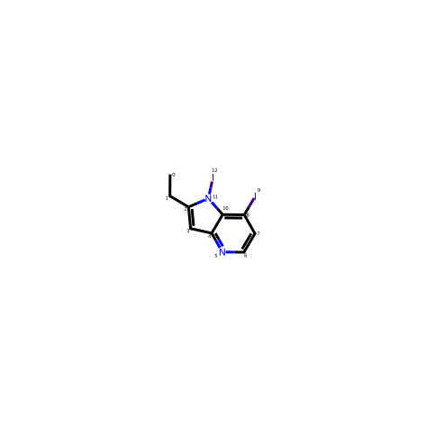 CCc1cc2nccc(I)c2n1I